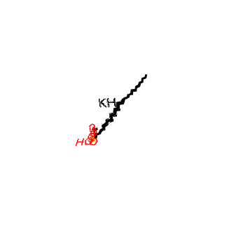 CCCCCCCCCCCCCCCCCCCCCCCCCCC(CS(=O)(=O)O)OC(C)=O.[KH]